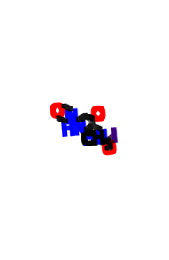 Cc1[nH]c(N2CCOCC2)cc(=O)c1CNC(=O)I